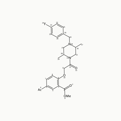 COC(=O)c1cc(C(C)=O)ccc1OCC(=O)N1CC(C)N(Cc2ccc(F)cc2)CC1C